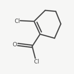 O=C(Cl)C1=C(Cl)CCCC1